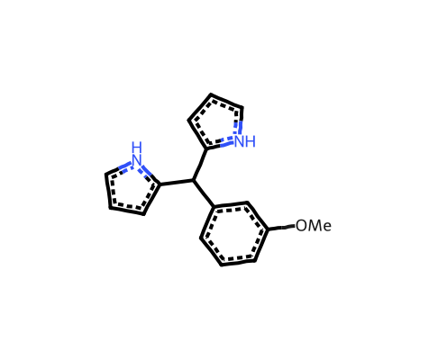 COc1cccc(C(c2ccc[nH]2)c2ccc[nH]2)c1